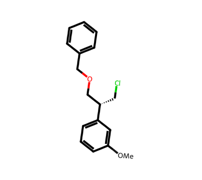 COc1cccc([C@@H](CCl)COCc2ccccc2)c1